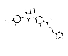 Cn1ncc(Br)c1CCNC(=O)C1C=CC(N2C(=S)N(c3cnc(C#N)c(C(F)(F)F)c3)C(=O)C23CCC3)=CC1F